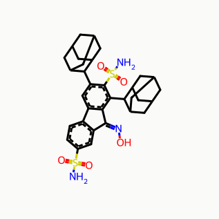 NS(=O)(=O)c1ccc2c(c1)C(=NO)c1c-2cc(C2C3CC4CC(C3)CC2C4)c(S(N)(=O)=O)c1C1C2CC3CC(C2)CC1C3